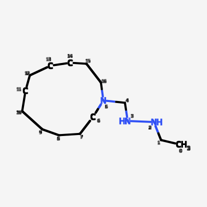 CCNNCN1CCCCCCCCCCC1